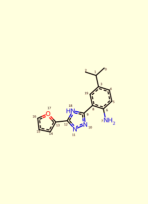 CC(C)c1ccc(N)c(-c2nnc(-c3ccco3)[nH]2)c1